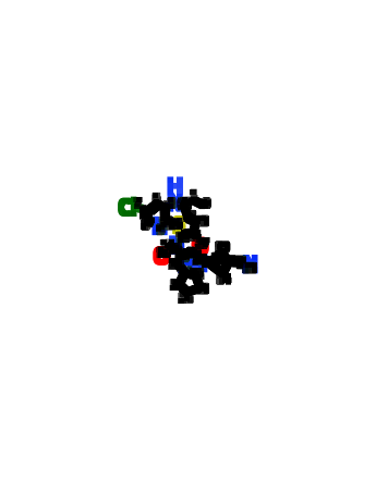 CC[C@H](Nc1cc(Cl)cnc1C)c1ccc(N(C=O)[C@@H](CC2CCCC2)C(=O)NC23CC(C#N)(C2)C3)s1